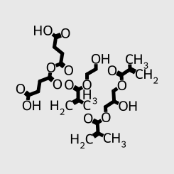 C=C(C)C(=O)OCC(O)COC(=O)C(=C)C.C=C(C)C(=O)OCCO.O=C(O)CCC(=O)OC(=O)CCC(=O)O